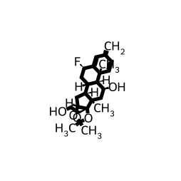 C=C1C=C[C@@]2(C)C(=C1)[C@@H](F)C[C@@H]1[C@@H]2[C@@H](O)C[C@@]2(C)[C@H]1C[C@H]1OC(C)(C)O[C@]12C(=O)CO